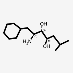 CC(C)C[C@@H](O)[C@@H](O)[C@@H](N)CC1CCCCC1